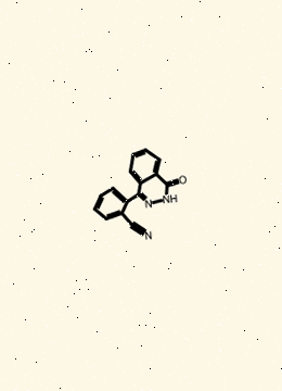 N#Cc1ccccc1-c1n[nH]c(=O)c2ccccc12